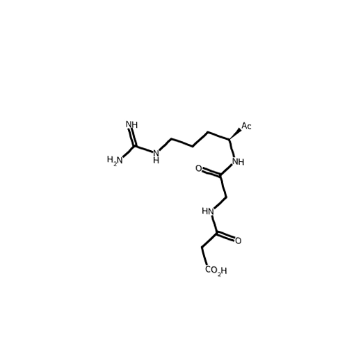 CC(=O)[C@H](CCCNC(=N)N)NC(=O)CNC(=O)CC(=O)O